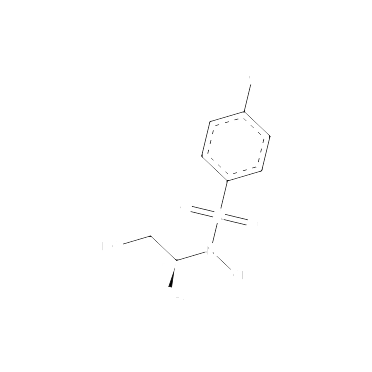 CCC(C)[C@@H](CO)N(C)S(=O)(=O)c1ccc(Cl)cc1